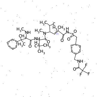 CNC(C(=O)NC(C(=O)N(C)C(/C=C(\C)C(=O)NS(=O)(=O)Cc1ccc(CNC(=O)C(F)(F)F)cc1)C(C)C)C(C)(C)C)C(C)(C)c1ccccc1